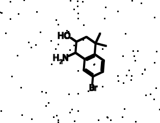 CC1(C)CC(O)C(N)c2cc(Br)ccc21